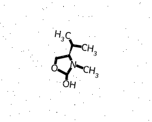 CC(C)[C@@H]1COC(O)N1C